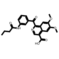 CCCC(=O)Nc1cccc(C(=O)c2ncc(C(=O)O)c3cc(OC)c(OC)cc23)c1